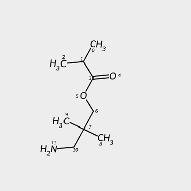 CC(C)C(=O)OCC(C)(C)CN